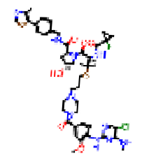 CNc1nc(Nc2ccc(C(=O)N3CCN(CCCSC(C)(C)[C@H](NC(=O)C4(F)CC4)C(=O)N4C[C@H](O)CC4C(=O)NCc4ccc(-c5scnc5C)cc4)CC3)cc2OC)ncc1Cl